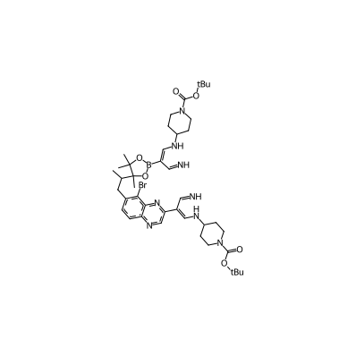 CC(Cc1ccc2ncc(/C(C=N)=C/NC3CCN(C(=O)OC(C)(C)C)CC3)nc2c1Br)C1(C)OB(/C(C=N)=C/NC2CCN(C(=O)OC(C)(C)C)CC2)OC1(C)C